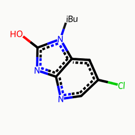 CCC(C)n1c(O)nc2ncc(Cl)cc21